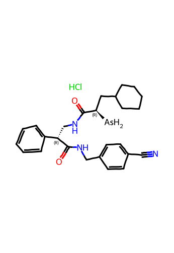 Cl.N#Cc1ccc(CNC(=O)[C@@H](CNC(=O)[C@H]([AsH2])CC2CCCCC2)c2ccccc2)cc1